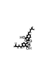 CC(C)CCCC1CCC(C(=O)OC(=O)C2CCC(CCCC(C)C)CC2C(=O)O)C(C(=O)O)C1